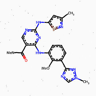 CNC(=O)c1cnc(Nc2cc(C)ns2)nc1Nc1cccc(-c2ncn(C)n2)c1OC